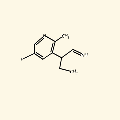 CCC(C=N)c1cc(F)cnc1C